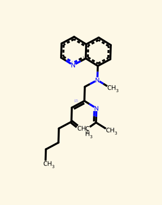 C=C(/C=C(/CN(C)c1cccc2cccnc12)N=C(C)C)CCCC